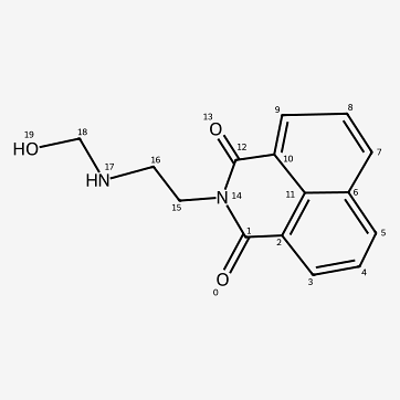 O=C1c2cccc3cccc(c23)C(=O)N1CCNCO